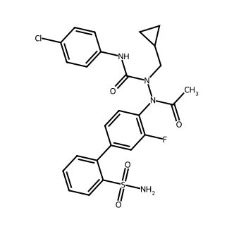 CC(=O)N(c1ccc(-c2ccccc2S(N)(=O)=O)cc1F)N(CC1CC1)C(=O)Nc1ccc(Cl)cc1